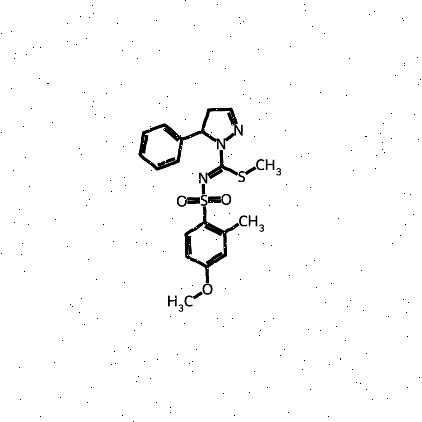 COc1ccc(S(=O)(=O)/N=C(\SC)N2N=CCC2c2ccccc2)c(C)c1